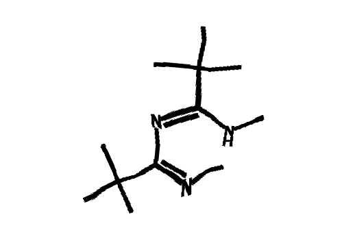 C/N=C(\N=C(/NC)C(C)(C)C)C(C)(C)C